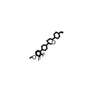 C=CC1CCC(C2CCC(C3CCC(c4ccc(OCC)c(F)c4F)CC3)CO2)CC1